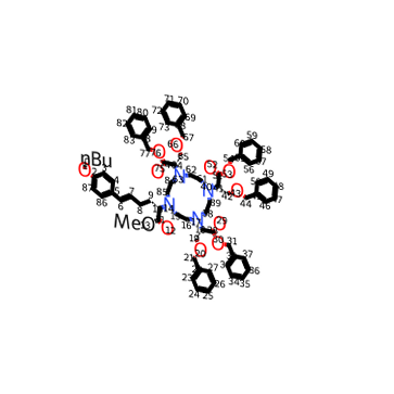 CCCCOc1ccc(/C=C/CC[C@@H](C(=O)OC)N2CCN([C@@H](COCc3ccccc3)C(=O)OCc3ccccc3)CCN([C@@H](COCc3ccccc3)C(=O)OCc3ccccc3)CCN([C@@H](COCc3ccccc3)C(=O)OCc3ccccc3)CC2)cc1